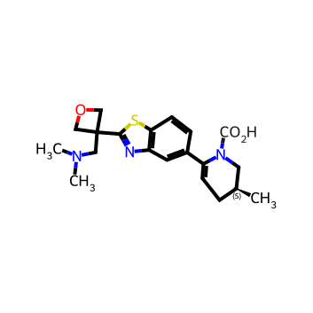 C[C@H]1CC=C(c2ccc3sc(C4(CN(C)C)COC4)nc3c2)N(C(=O)O)C1